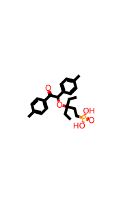 CCC(CC)(CCP(=O)(O)O)OC(C(=O)c1ccc(C)cc1)c1ccc(C)cc1